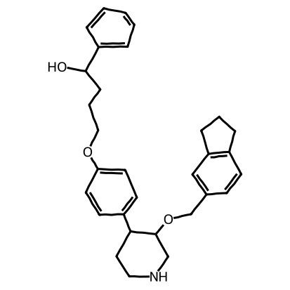 OC(CCCOc1ccc(C2CCNCC2OCc2ccc3c(c2)CCC3)cc1)c1ccccc1